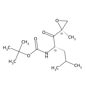 CC(C)C[C@H](NC(=O)OC(C)(C)C)C(=O)[C@]1(C)CO1